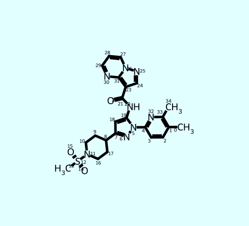 Cc1ccc(-n2nc(C3CCN(S(C)(=O)=O)CC3)cc2NC(=O)c2cnn3cccnc23)nc1C